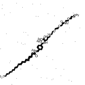 CCCOCCOCCNC(=O)COCCOCCNCCCC(NC(O)C1CCC(CNC(=O)CCCCCCCCCCCCCCCCCCC(=O)O)CC1)C(O)O